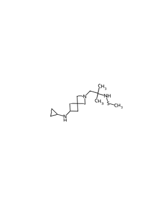 CSNC(C)(C)CN1CC2(CC(NC3CC3)C2)C1